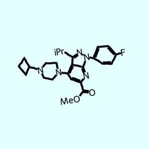 COC(=O)c1cc(N2CCN(C3CCC3)CC2)c2c(C(C)C)nn(-c3ccc(F)cc3)c2n1